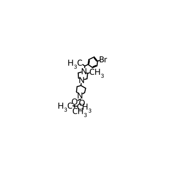 CC1CN(C2CCN(C(=O)OC(C)(C)C)CC2)CCN1C(C)c1ccc(Br)cc1